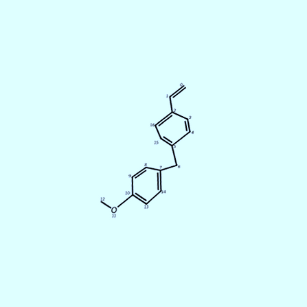 C=Cc1ccc(Cc2ccc(OC)cc2)cc1